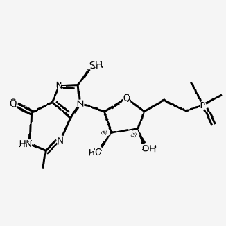 C=P(C)(C)CCC1OC(n2c(S)nc3c(=O)[nH]c(C)nc32)[C@H](O)[C@@H]1O